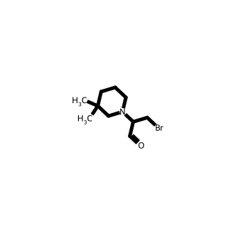 CC1(C)CCCN(C(C=O)CBr)C1